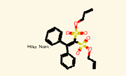 C=CCOS(=O)(=O)C(=C(c1ccccc1)c1ccccc1)S(=O)(=O)OCC=C.[NaH].[NaH]